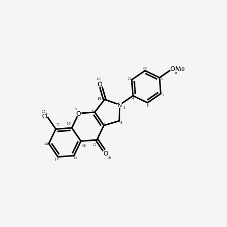 COc1ccc(N2Cc3c(oc4c(Cl)cccc4c3=O)C2=O)cc1